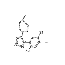 CCc1cc(-n2nncc2-c2ccc(C)cc2)c(O)cc1C